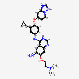 CN(C)CCOc1cc2ncnc(Nc3ccc(Oc4ccn5ncnc5c4)c(C4CC4)c3)c2cc1N